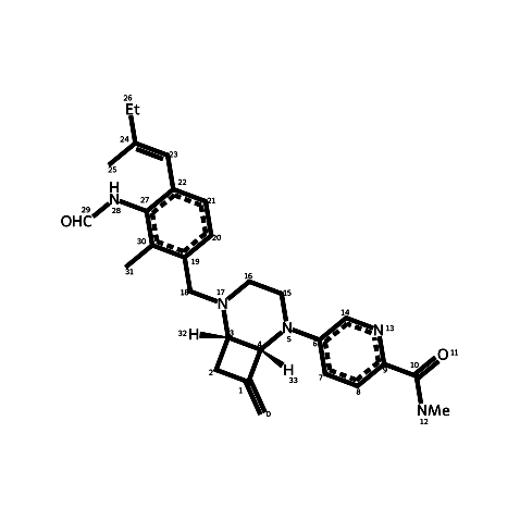 C=C1C[C@H]2[C@@H]1N(c1ccc(C(=O)NC)nc1)CCN2Cc1ccc(/C=C(\C)CC)c(NC=O)c1C